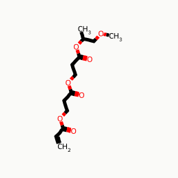 C=CC(=O)OCCC(=O)OCCC(=O)OC(C)COC